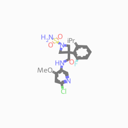 COc1cc(Cl)ncc1NC(=O)C1(c2c(F)cccc2C(C)C)CN(S(N)(=O)=O)C1